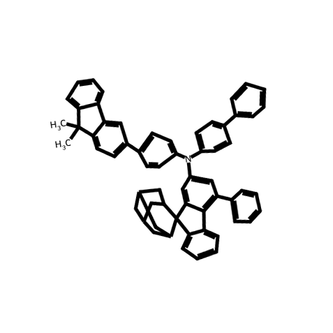 CC1(C)c2ccccc2-c2cc(-c3ccc(N(c4ccc(-c5ccccc5)cc4)c4cc(-c5ccccc5)c5c(c4)C4(c6ccccc6-5)C5CC6CC(C5)CC4C6)cc3)ccc21